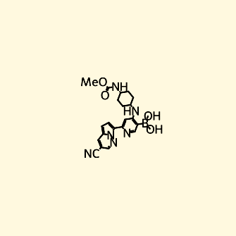 COC(=O)N[C@H]1CC[C@H](Nc2cc(-c3ccc4cc(C#N)cnn34)ncc2B(O)O)CC1